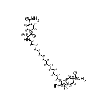 CC(C)C(NCCCCCCCCCCCCCCCCNC(C(=O)N1C=CC(C(N)=O)=CC1)C(C)C)C(=O)N1C=CC(C(N)=O)=CC1